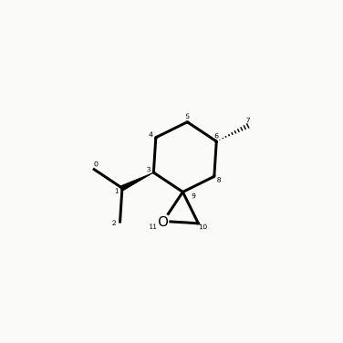 CC(C)[C@H]1CC[C@H](C)CC12CO2